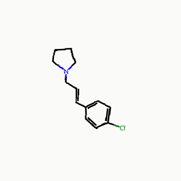 Clc1ccc(/C=C/CN2CCCC2)cc1